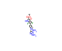 Nc1ncc(CN2CCc3cc(-c4c(F)cc5c(=O)c(C(=O)OC6CC6)c[nH]c5c4F)ccc32)c(N)n1